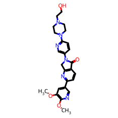 COc1cc(-c2ccc3c(n2)CN(c2ccc(N4CCN(CCO)CC4)nc2)C3=O)cnc1OC